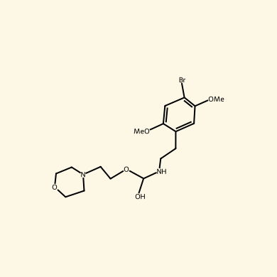 COc1cc(CCNC(O)OCCN2CCOCC2)c(OC)cc1Br